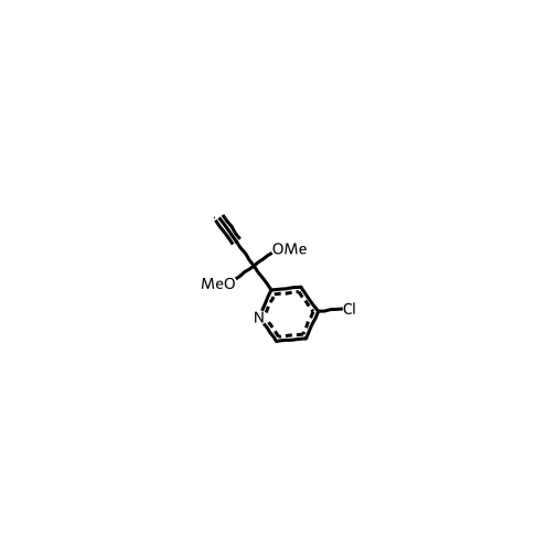 [C]#CC(OC)(OC)c1cc(Cl)ccn1